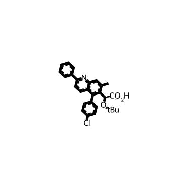 Cc1cc2nc(-c3ccccc3)ccc2c(-c2ccc(Cl)cc2)c1[C@H](OC(C)(C)C)C(=O)O